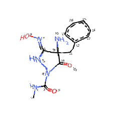 CNC(=O)N1NC(=NO)C(N)(Cc2ccccc2)C1=O